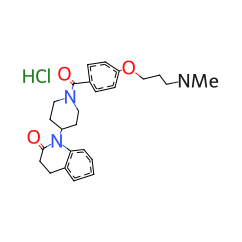 CNCCCOc1ccc(C(=O)N2CCC(N3C(=O)CCc4ccccc43)CC2)cc1.Cl